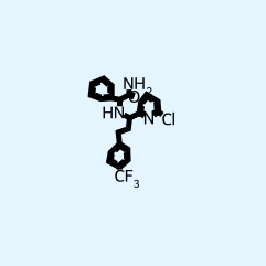 NC(=O)C(NC(CCc1ccc(C(F)(F)F)cc1)c1cccc(Cl)n1)c1ccccc1